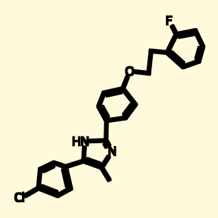 Cc1nc(-c2ccc(OCCc3ccccc3F)cc2)[nH]c1-c1ccc(Cl)cc1